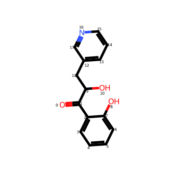 O=C(c1ccccc1O)C(O)Cc1cccnc1